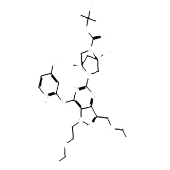 CCOCCn1nc(COCC)c2nc(N3C[C@@H]4C[C@H]3CN4C(=O)OC(C)(C)C)nc(Nc3cc(C)ccn3)c21